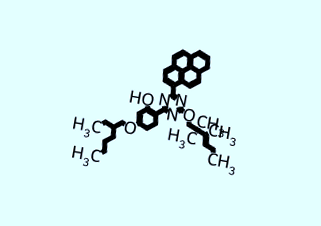 CC/C=C(\C)C(C)(C)COc1nc(C2=C(O)C=C(OCC(CC)CCCC)CC2)nc(-c2ccc3ccc4c5c3c2C=CC5CC=C4)n1